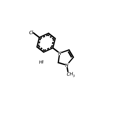 CN1C=CN(c2ccc(Cl)cc2)C1.I